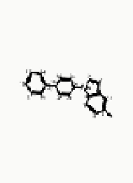 Cc1ccc2c(ccn2[C]2C=CC(c3ccccc3)C=C2)c1